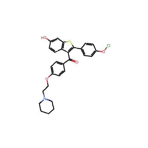 O=C(c1ccc(OCCN2CCCCC2)cc1)c1c(-c2ccc(OCl)cc2)sc2cc(O)ccc12